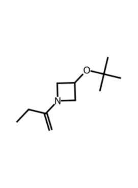 C=C(CC)N1CC(OC(C)(C)C)C1